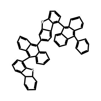 C1=CC2Sc3c(-c4c5ccccc5c(-c5ccc6c(c5)oc5cccc(-c7c8ccccc8c(-c8ccccc8)c8ccccc78)c56)c5ccccc45)cccc3C2C=C1